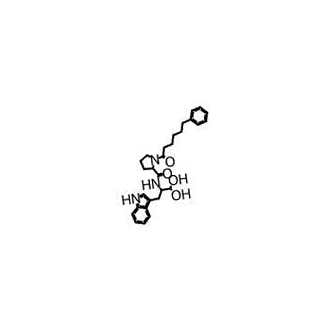 O=C(NC(Cc1c[nH]c2ccccc12)C(O)O)C1CCCN1C(=O)CCCCCc1ccccc1